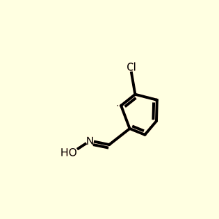 ON=Cc1[c]c(Cl)ccc1